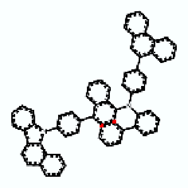 c1ccc(-c2ccccc2N(c2ccc(-c3cc4ccccc4c4ccccc34)cc2)c2ccc(-c3ccc(-n4c5ccccc5c5ccc6ccccc6c54)cc3)c3ccccc23)cc1